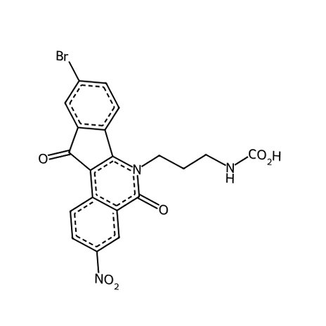 O=C(O)NCCCn1c2c(c3ccc([N+](=O)[O-])cc3c1=O)C(=O)c1cc(Br)ccc1-2